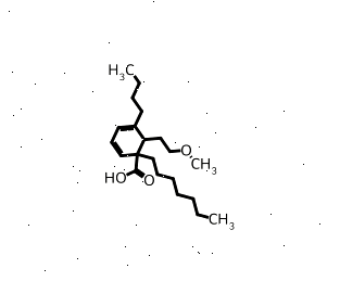 CCCCCCCC1(C(=O)O)C=CC=C(CCCC)C1CCOC